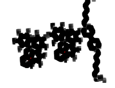 CCCCCCC[n+]1ccc(-c2cc[n+](CCCCCCC)cc2)cc1.Fc1c(F)c(F)c([B-](Cc2ccccc2)(c2c(F)c(F)c(F)c(F)c2F)c2c(F)c(F)c(F)c(F)c2F)c(F)c1F.Fc1c(F)c(F)c([B-](Cc2ccccc2)(c2c(F)c(F)c(F)c(F)c2F)c2c(F)c(F)c(F)c(F)c2F)c(F)c1F